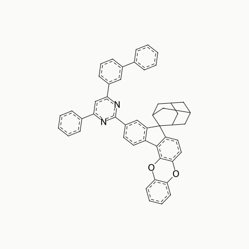 c1ccc(-c2cccc(-c3cc(-c4ccccc4)nc(-c4ccc5c(c4)C4(c6ccc7c(c6-5)Oc5ccccc5O7)C5CC6CC(C5)CC4C6)n3)c2)cc1